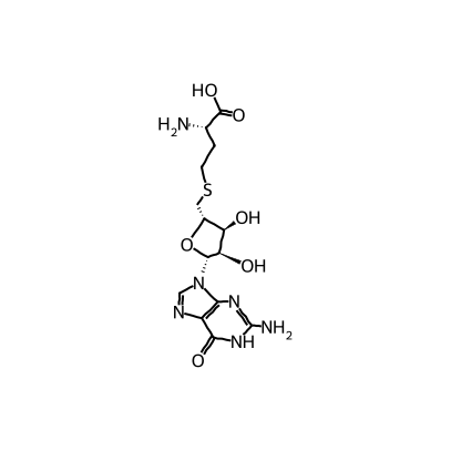 Nc1nc2c(ncn2[C@@H]2O[C@H](CSCC[C@H](N)C(=O)O)[C@@H](O)[C@H]2O)c(=O)[nH]1